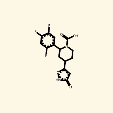 O=C(O)N1CCC(c2cc(=O)[nH]o2)CC1c1cc(F)c(F)cc1F